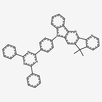 CC1(C)c2cccnc2-c2nc3c4ccccc4n(-c4ccc(-c5nc(-c6ccccc6)nc(-c6ccccc6)n5)cc4)c3cc21